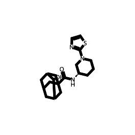 O=C(N[C@H]1CCCN(c2nccs2)C1)C12CC3CC(C1)C(O)C(C3)C2